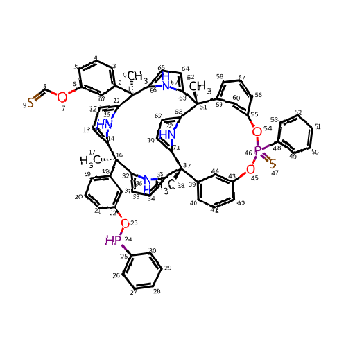 C[C@@]1(c2cccc(OC=S)c2)c2ccc([nH]2)[C@](C)(c2cccc(OPc3ccccc3)c2)c2ccc([nH]2)[C@@]2(C)c3cccc(c3)OP(=S)(c3ccccc3)Oc3cccc(c3)[C@@](C)(c3ccc1[nH]3)c1ccc2[nH]1